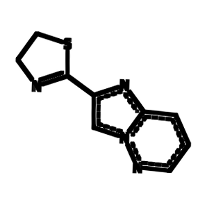 c1cnn2cc(C3=NCCS3)nc2c1